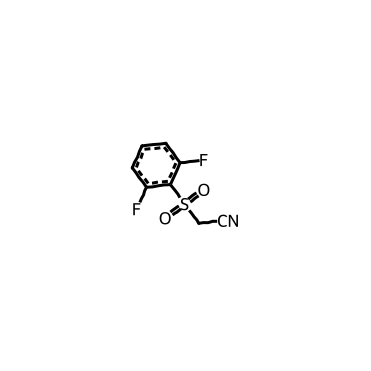 N#CCS(=O)(=O)c1c(F)cccc1F